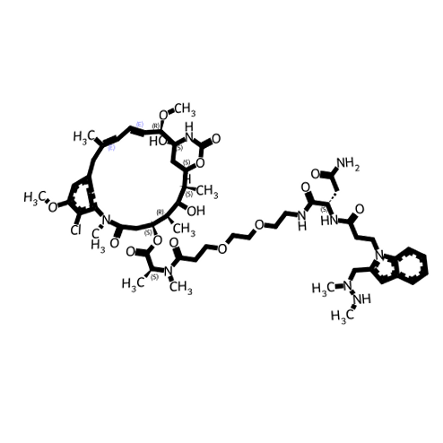 CNN(C)Cc1cc2ccccc2n1CCC(=O)N[C@@H](CC(N)=O)C(=O)NCCOCCOCCC(=O)N(C)[C@@H](C)C(=O)O[C@H]1CC(=O)N(C)c2cc(cc(OC)c2Cl)C/C(C)=C/C=C/[C@@H](OC)[C@@]2(O)C[C@H](OC(=O)N2)[C@@H](C)C(O)[C@H]1C